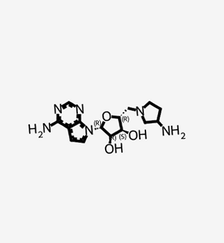 Nc1ncnc2c1ccn2[C@@H]1O[C@H](CN2CCC(N)C2)[C@@H](O)[C@H]1O